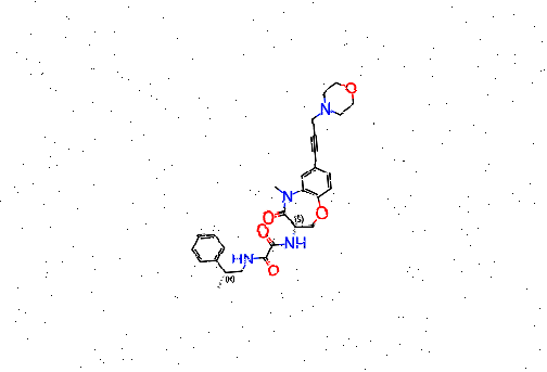 C[C@@H](CNC(=O)C(=O)N[C@H]1COc2ccc(C#CCN3CCOCC3)cc2N(C)C1=O)c1ccccc1